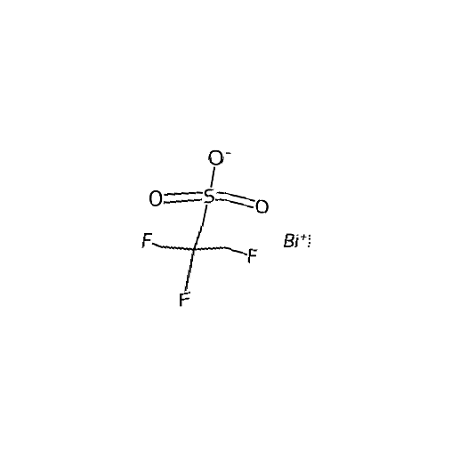 O=S(=O)([O-])C(F)(F)F.[Bi+]